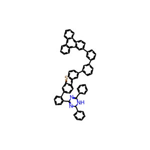 c1ccc(C2=NC(c3ccccc3-c3ccc4c(c3)sc3ccc(-c5cccc(-c6cccc(-c7ccc8c9ccccc9c9ccccc9c8c7)c6)c5)cc34)=NC(c3ccccc3)N2)cc1